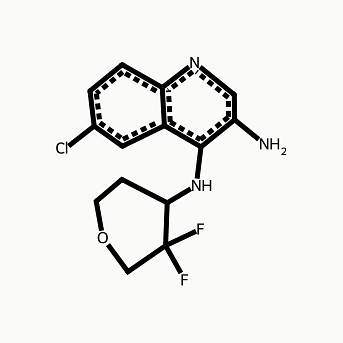 Nc1cnc2ccc(Cl)cc2c1NC1CCOCC1(F)F